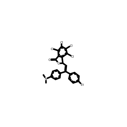 CCc1ccc(C(=CC2OC(=O)c3c(Cl)c(Cl)c(Cl)c(Cl)c32)c2ccc(N(C)C)cc2)cc1